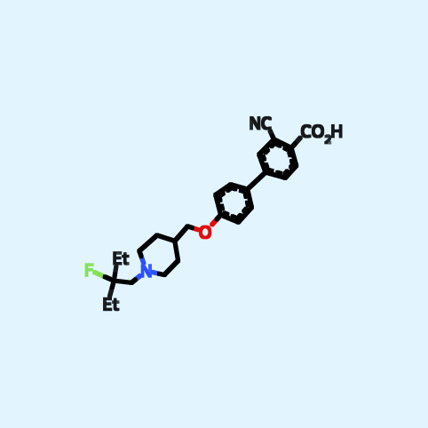 CCC(F)(CC)CN1CCC(COc2ccc(-c3ccc(C(=O)O)c(C#N)c3)cc2)CC1